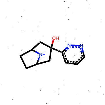 OC1(c2cccnn2)CC2CCC(C1)N2